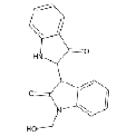 O=C1c2ccccc2NC1C1C(=O)N(CO)c2ccccc21